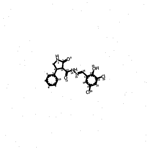 O=C1NCC(c2ccccc2)C1C(=O)NN=Cc1cc(Cl)cc(Cl)c1O